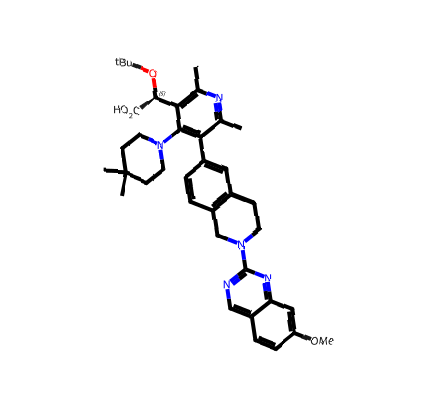 COc1ccc2cnc(N3CCc4cc(-c5c(C)nc(C)c([C@H](OC(C)(C)C)C(=O)O)c5N5CCC(C)(C)CC5)ccc4C3)nc2c1